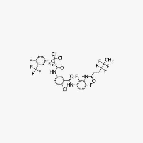 CC(F)(F)C(F)(F)CCC(=O)Nc1c(F)ccc(NC(=O)c2cc(NC(=O)[C@H]3[C@H](c4ccc(F)c(C(F)(F)F)c4)C3(Cl)Cl)ccc2Cl)c1F